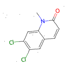 Cn1c(=O)ccc2cc(Cl)c(Cl)cc21